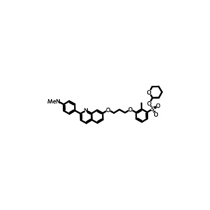 CNc1ccc(-c2ccc3ccc(OCCCOc4cccc(S(=O)(=O)OC5CCCCO5)c4C)cc3n2)cc1